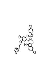 COc1ccc(C2c3[nH]c4ccc(Cl)cc4c3CCN2C(=O)Oc2ccc(Cl)cc2)cc1OCCCn1cncn1